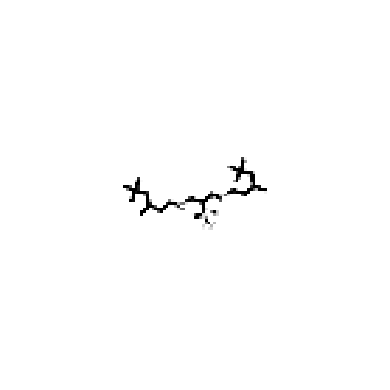 CC(CCOCC(COCCC(C)CC(C)(C)C)[N+](C)(C)[O-])CC(C)(C)C